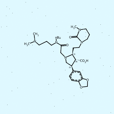 CCCCN(CCCN(C)C)C(=O)CN1C[C@H](c2ccc3c(c2)OCO3)[C@@H](C(=O)O)[C@@H]1CCN1CCCN(C)C1=O